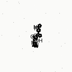 Cc1cc(C)n2nc(CC3=C(O)CC(CCc4ccc(C5(C#N)CCCC5)c(F)c4)(C4CCCC4)OC3=O)nc2n1